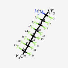 NC(F)(C(F)(F)F)C(F)(F)C(F)(F)C(F)(F)C(F)(F)C(F)(F)C(F)(F)C(F)(F)C(F)(F)F